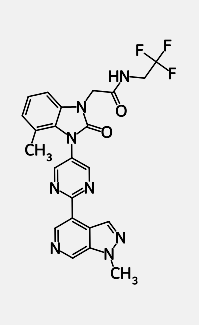 Cc1cccc2c1n(-c1cnc(-c3cncc4c3cnn4C)nc1)c(=O)n2CC(=O)NCC(F)(F)F